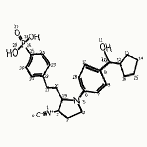 [C-]#[N+]C1CCN(c2ccc(C(O)C3CCCC3)cc2)C1CCc1ccc(P(=O)(O)O)cc1